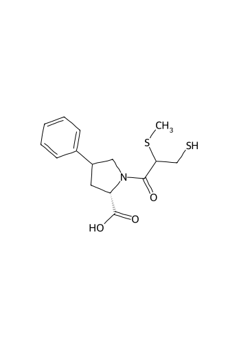 CSC(CS)C(=O)N1CC(c2ccccc2)C[C@H]1C(=O)O